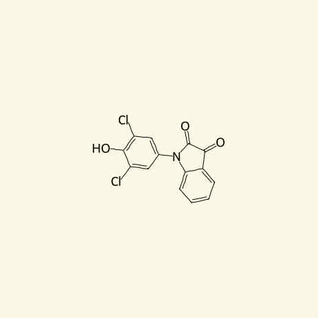 O=C1C(=O)N(c2cc(Cl)c(O)c(Cl)c2)c2ccccc21